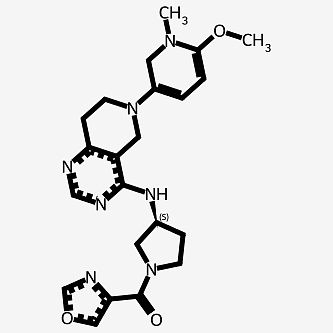 COC1=CC=C(N2CCc3ncnc(N[C@H]4CCN(C(=O)c5cocn5)C4)c3C2)CN1C